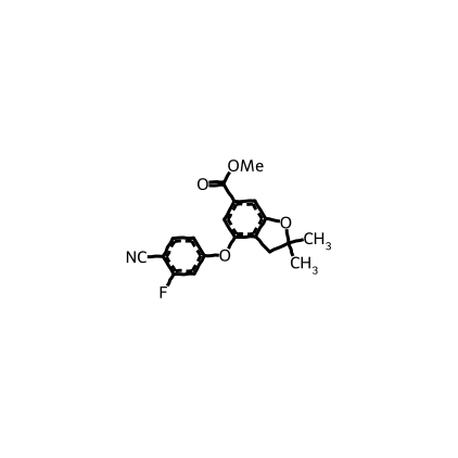 COC(=O)c1cc(Oc2ccc(C#N)c(F)c2)c2c(c1)OC(C)(C)C2